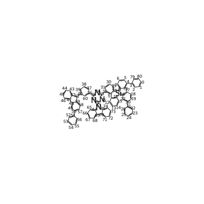 c1ccc(-c2cccc([Si](c3ccccc3)(c3cccc(-c4ccccc4)c3)c3cccc(-c4nc(-c5cccc(C6c7ccccc7-c7cc(-c8ccccc8)ccc76)c5)nc(-n5c6ccccc6c6ccccc65)n4)c3)c2)cc1